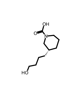 O=C(O)N1CCC[C@H](CCCCO)C1